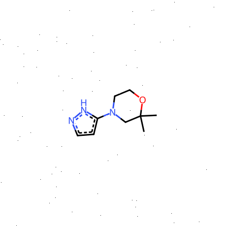 CC1(C)CN(c2ccn[nH]2)CCO1